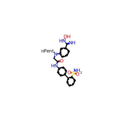 CCCCCN(CC(=O)Nc1ccc(-c2ccccc2S(N)(=O)=O)cc1)c1cccc(C(=N)NO)c1